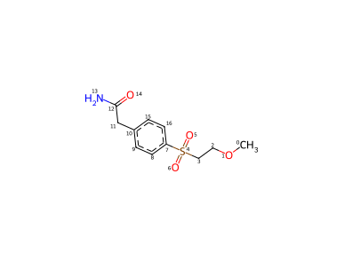 COCCS(=O)(=O)c1ccc(CC(N)=O)cc1